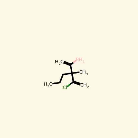 BC(=C)C(C)(CCC)C(=C)Cl